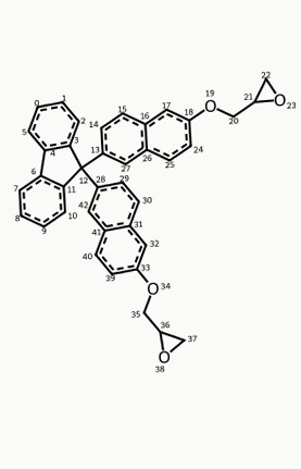 c1ccc2c(c1)-c1ccccc1C2(c1ccc2cc(OCC3CO3)ccc2c1)c1ccc2cc(OCC3CO3)ccc2c1